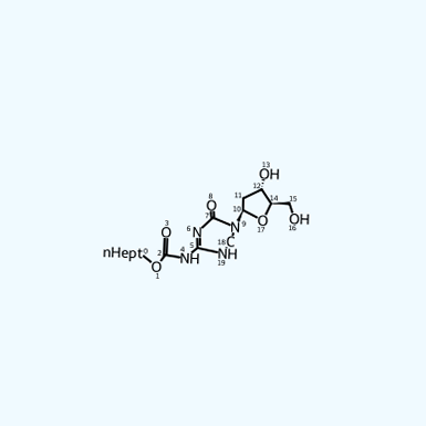 CCCCCCCOC(=O)NC1=NC(=O)N([C@H]2C[C@H](O)[C@@H](CO)O2)CN1